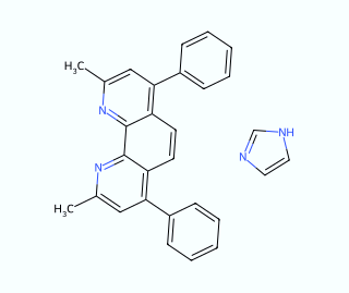 Cc1cc(-c2ccccc2)c2ccc3c(-c4ccccc4)cc(C)nc3c2n1.c1c[nH]cn1